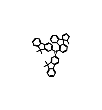 CC1CC=CC12c1ccccc1-c1c(N(c3ccc4c(c3)C(C)(C)c3ccccc3-4)c3ccc4c(c3)C(C)(C)c3ccccc3-4)cccc12